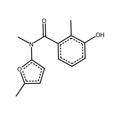 Cc1ccc(N(C)C(=O)c2cccc(O)c2C)o1